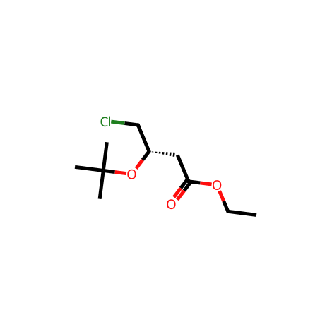 CCOC(=O)C[C@@H](CCl)OC(C)(C)C